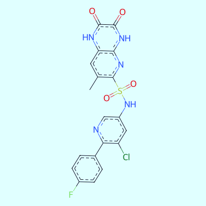 Cc1cc2[nH]c(=O)c(=O)[nH]c2nc1S(=O)(=O)Nc1cnc(-c2ccc(F)cc2)c(Cl)c1